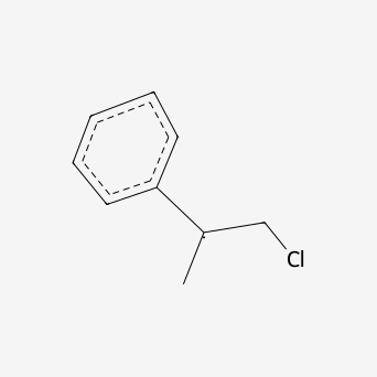 C[C](CCl)c1ccccc1